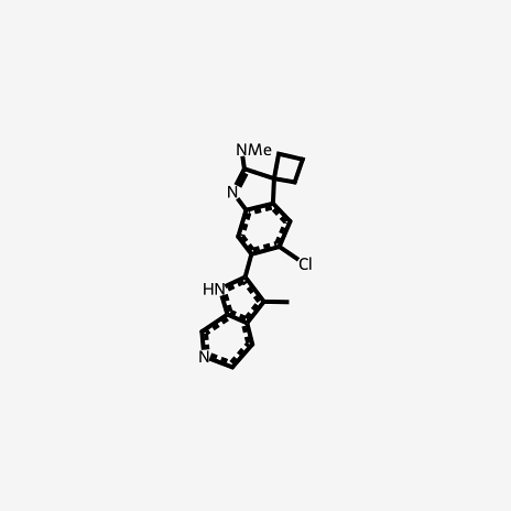 CNC1=Nc2cc(-c3[nH]c4cnccc4c3C)c(Cl)cc2C12CCC2